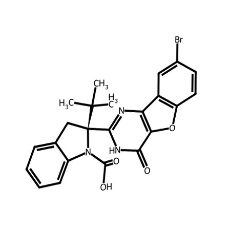 CC(C)(C)[C@]1(c2nc3c(oc4ccc(Br)cc43)c(=O)[nH]2)Cc2ccccc2N1C(=O)O